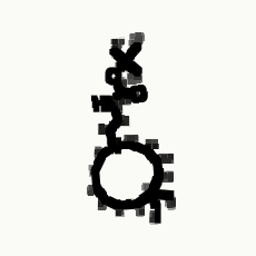 CC1(I)CCCCCCN(CCNC(=O)OC(C)(C)C)CCCC1